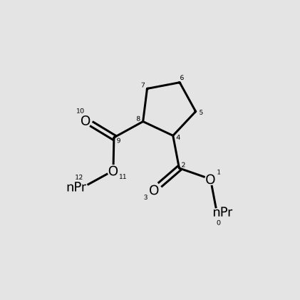 CCCOC(=O)C1CCCC1C(=O)OCCC